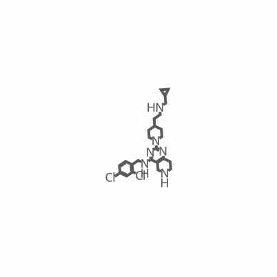 Clc1ccc(CNc2nc(N3CCC(CCNCC4CC4)CC3)nc3c2CNCC3)c(Cl)c1